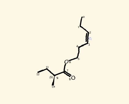 CC/C=C\CCOC(=O)[C@@H](C)CC